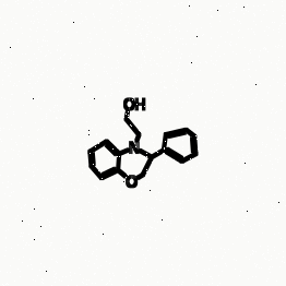 OCCN1c2ccccc2OCC1c1ccccc1